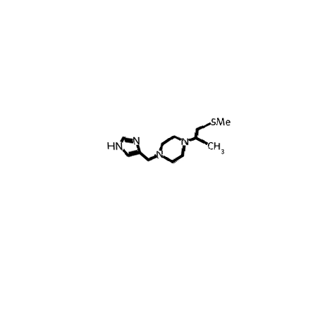 CSCC(C)N1CCN(Cc2c[nH]cn2)CC1